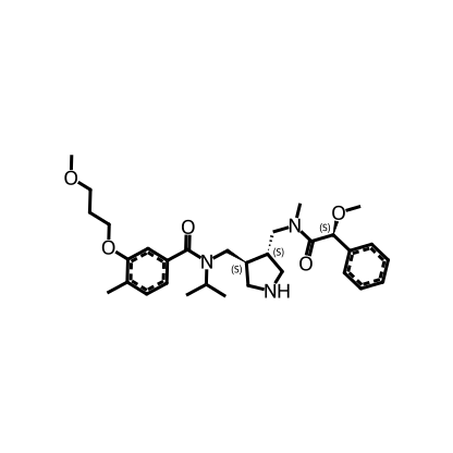 COCCCOc1cc(C(=O)N(C[C@@H]2CNC[C@H]2CN(C)C(=O)[C@@H](OC)c2ccccc2)C(C)C)ccc1C